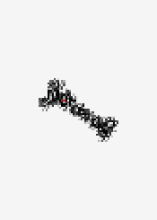 C=C(/C=C\C(=C1\C=CC=CC1)c1ccc(-c2ccc(-c3ccc(-n4c5ccccc5c5ccccc54)cc3)cc2)cc1)C(=C/Cc1ccccc1)/N=C(\N)c1ccccc1